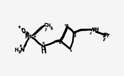 CC(C)NC1CC(N[SH](C)(N)=O)C1